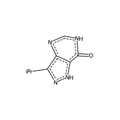 CC(C)c1n[nH]c2c(=O)[nH]cnc12